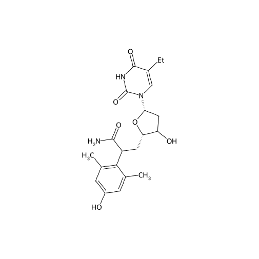 CCc1cn([C@@H]2CC(O)[C@H](CC(C(N)=O)c3c(C)cc(O)cc3C)O2)c(=O)[nH]c1=O